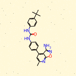 Cc1cc(-c2ccc(NC(=O)Nc3ccc(C(C)(C)C)cc3)cc2)c2c(N)noc2n1